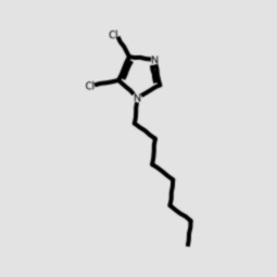 CCCCCCCn1cnc(Cl)c1Cl